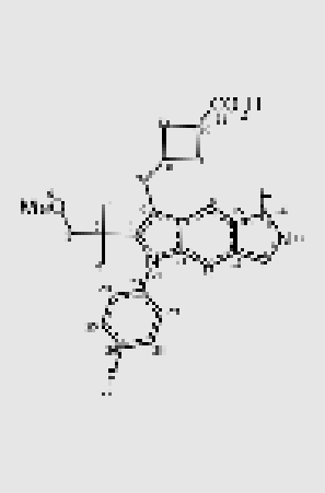 COCC(C)(C)c1c(CC2CC(C(=O)O)C2)c2cc3[nH]ncc3cc2n1-c1ccc(F)cc1